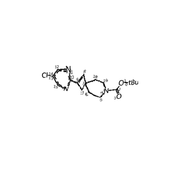 CC(C)(C)OC(=O)N1CCC2(C=C(c3ncc(Cl)cn3)C2)CC1